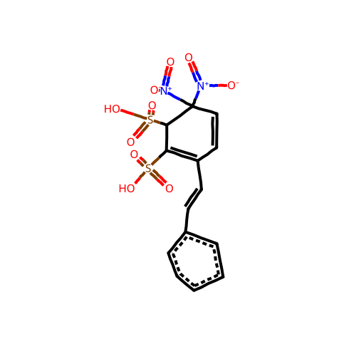 O=[N+]([O-])C1([N+](=O)[O-])C=CC(C=Cc2ccccc2)=C(S(=O)(=O)O)C1S(=O)(=O)O